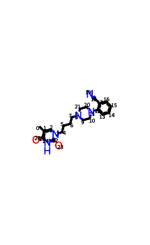 Cc1cn(CCCCN2CCN(c3ccccc3C#N)CC2)c(=O)[nH]c1=O